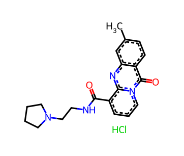 Cc1ccc2c(=O)n3cccc(C(=O)NCCN4CCCC4)c3nc2c1.Cl